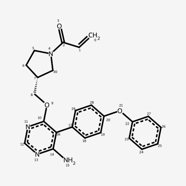 C=CC(=O)N1CC[C@@H](COc2ncnc(N)c2-c2ccc(Oc3ccccc3)cc2)C1